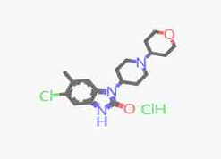 Cc1cc2c(cc1Cl)[nH]c(=O)n2C1CCN(C2CCOCC2)CC1.Cl